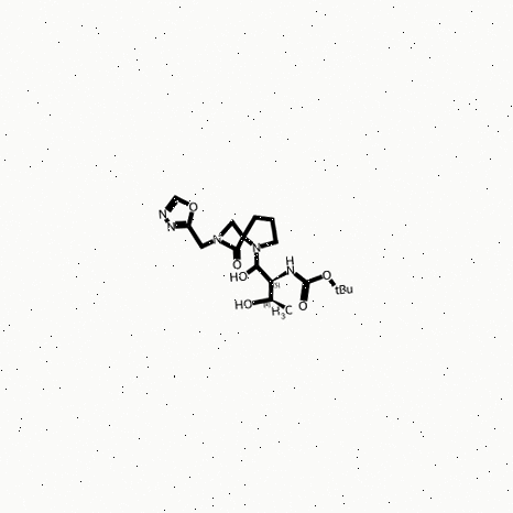 C[C@@H](O)[C@H](NC(=O)OC(C)(C)C)C(O)N1CCCC12CN(Cc1nnco1)C2=O